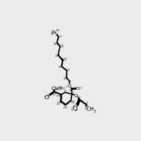 C=CC(=O)OC1(C(=O)OCCCCCCCCCC(C)C)CCCC(C(=O)OCC(C)C)C1